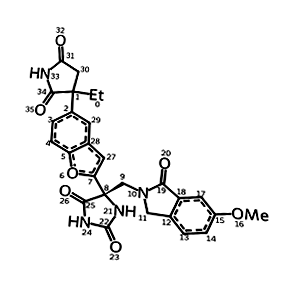 CCC1(c2ccc3oc([C@]4(CN5Cc6ccc(OC)cc6C5=O)NC(=O)NC4=O)cc3c2)CC(=O)NC1=O